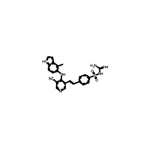 Cc1c(Nc2c(C#N)cncc2C=Cc2ccc(S(=O)(=O)NC(=N)N)cc2)ccc2[nH]ccc12